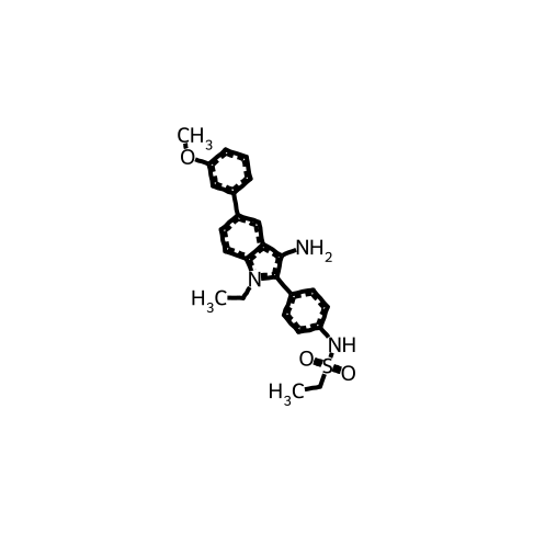 CCn1c(-c2ccc(NS(=O)(=O)CC)cc2)c(N)c2cc(-c3cccc(OC)c3)ccc21